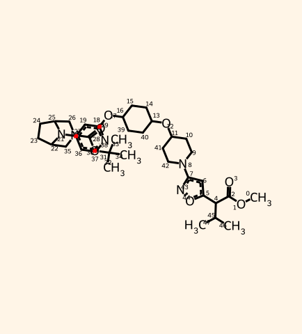 COC(=O)C(c1cc(N2CCC(OC3CCC(Oc4cc(N5C6CCC5CN(C(=O)OC(C)(C)C)C6)ccn4)CC3)CC2)no1)C(C)C